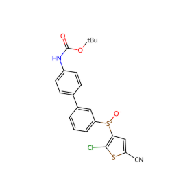 CC(C)(C)OC(=O)Nc1ccc(-c2cccc([S+]([O-])c3cc(C#N)sc3Cl)c2)cc1